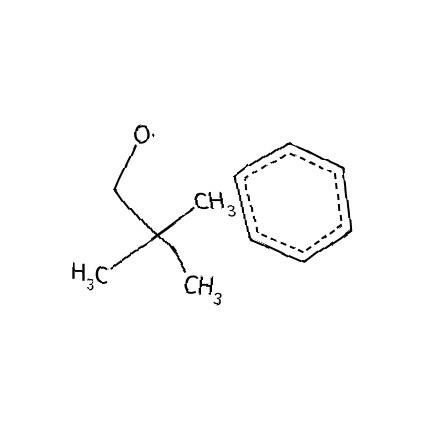 CC(C)(C)C[O].c1ccccc1